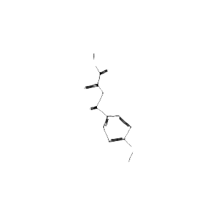 COC(=O)C(=O)CC(=O)c1ccc(SC)cc1